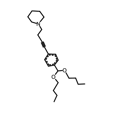 CCCCOC(OCCCC)c1ccc(C#CCCN2CCCCC2)cc1